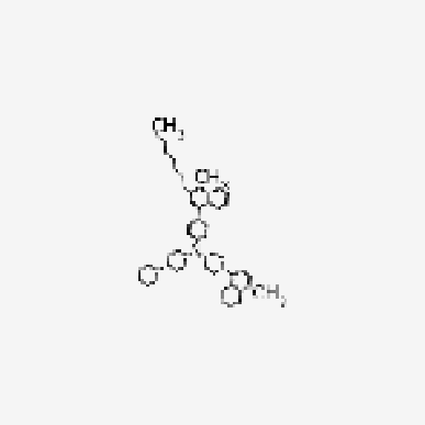 CCCCCCCCc1cc(-c2ccc(N(c3ccc(-c4ccccc4)cc3)c3ccc(-c4ccc(C)c5ccccc45)cc3)cc2)c2ccccc2c1C